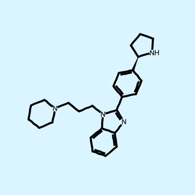 c1ccc2c(c1)nc(-c1ccc([C@H]3CCCN3)cc1)n2CCCN1CCCCC1